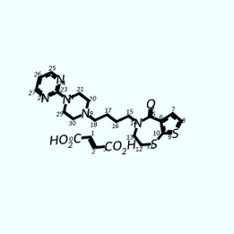 O=C(O)C=CC(=O)O.O=C1c2ccsc2SCCN1CCCCN1CCN(c2ncccn2)CC1